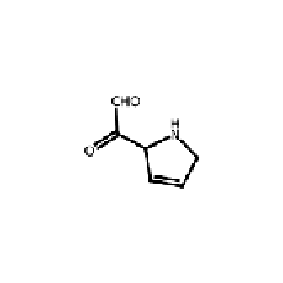 O=CC(=O)C1C=CCN1